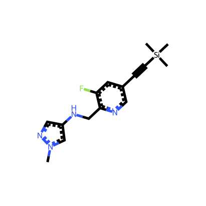 Cn1cc(NCc2ncc(C#C[Si](C)(C)C)cc2F)cn1